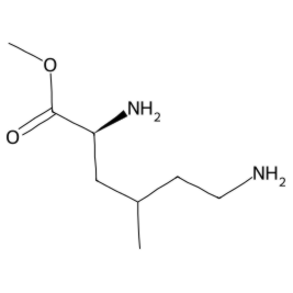 COC(=O)[C@@H](N)CC(C)CCN